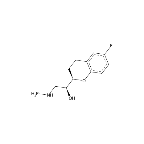 O[C@@H](CNP)[C@H]1CCc2cc(F)ccc2O1